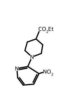 CCOC(=O)C1CCN(c2ncccc2[N+](=O)[O-])CC1